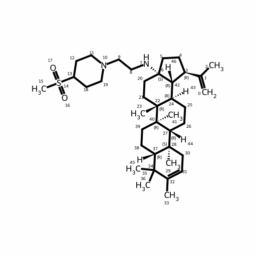 C=C(C)[C@@H]1CC[C@]2(NCCN3CCC(S(C)(=O)=O)CC3)CC[C@]3(C)[C@H](CC[C@@H]4[C@@]5(C)CC=C(C)C(C)(C)[C@@H]5CC[C@]43C)[C@@H]12